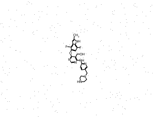 Cc1cc2c(F)c(Oc3ncnc(Nc4ccc(CN5CCNCC5)cn4)c3CO)cc(F)c2[nH]1